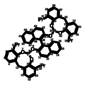 CC(C)c1cccc2c1OP(Oc1ccc3ccccc3c1-c1c(OP3Oc4c(cccc4C(C)C)Cc4cccc(C(C)C)c4O3)ccc3ccccc13)Oc1c(cccc1C(C)C)C2